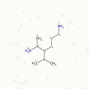 CC(C)C(CCCN)C(C)N